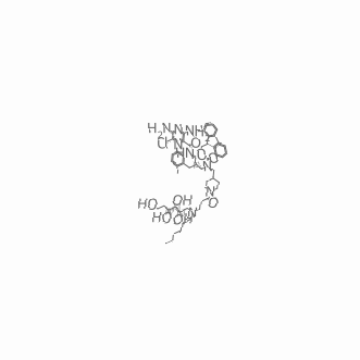 CCCCCCN(CCC(=O)N1CCC(CN(C[C@H](CNC(=O)c2nc(Cl)c(N)nc2N)Cc2ccccc2C)C(=O)OCC2c3ccccc3-c3ccccc32)CC1)C[C@H](O)[C@@H](O)[C@H](O)CCO